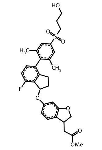 COC(=O)CC1COc2cc(O[C@@H]3CCc4c(-c5c(C)cc(S(=O)(=O)CCCO)cc5C)ccc(F)c43)ccc21